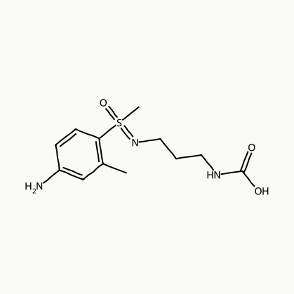 Cc1cc(N)ccc1S(C)(=O)=NCCCNC(=O)O